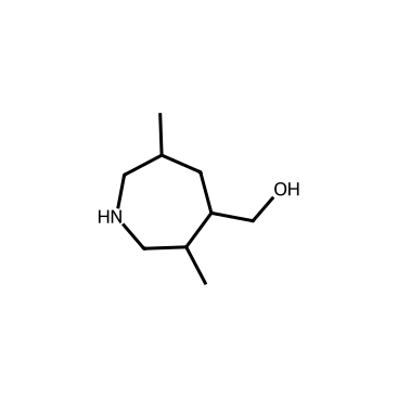 CC1CNCC(C)C(CO)C1